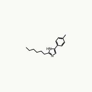 CCCCCCc1ncc(-c2ccc(C)cc2)[nH]1